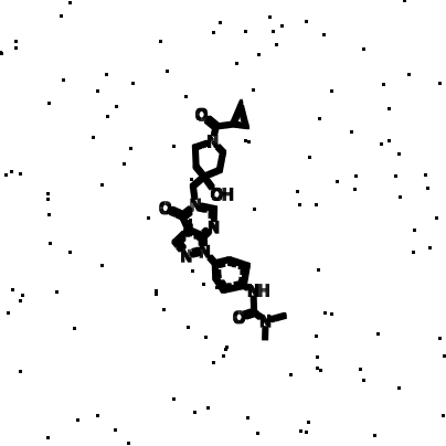 CN(C)C(=O)Nc1ccc(-n2ncc3c(=O)n(CC4(O)CCN(C(=O)C5CC5)CC4)cnc32)cc1